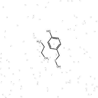 CCCC.OSCc1ccc(O)cc1